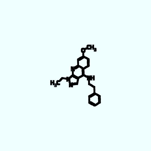 CCn1ncc2c(NCCc3ccccc3)c3ccc(OC)cc3nc21